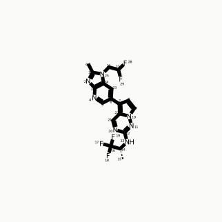 Cc1nc2ncc(-c3ccn4nc(N[C@H](C)C(F)(F)F)ncc34)cc2n1CC(F)F